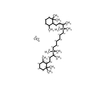 CC1CCCC(C)(C)C1CCC(C)[N+](C)(C)CCCCCC[N+](C)(C)C(C)CCC1C(C)CCCC1(C)C.[Cl-].[Cl-]